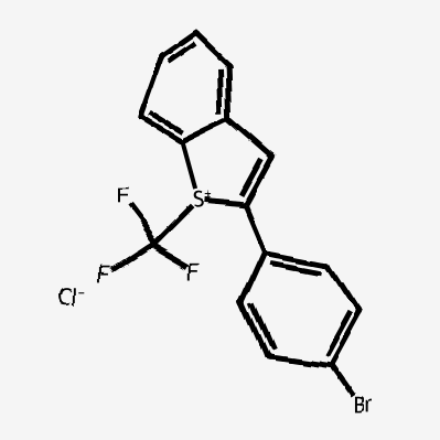 FC(F)(F)[s+]1c(-c2ccc(Br)cc2)cc2ccccc21.[Cl-]